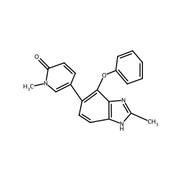 Cc1nc2c(Oc3ccccc3)c(-c3ccc(=O)n(C)c3)ccc2[nH]1